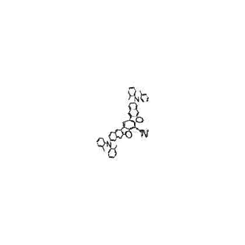 Cc1ccccc1N(c1ccc2cc3c(cc2c1)oc1c(C#N)c2oc4cc5cc(N(c6ccccc6C)c6ccccc6C)ccc5cc4c2cc13)c1ccccc1C